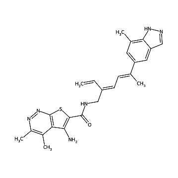 C=C/C(=C\C=C(/C)c1cc(C)c2[nH]ncc2c1)CNC(=O)c1sc2nnc(C)c(C)c2c1N